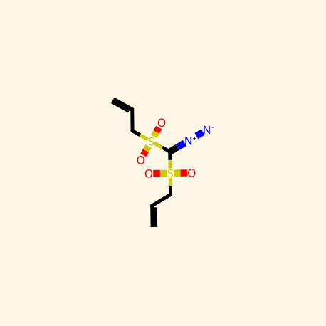 C=CCS(=O)(=O)C(=[N+]=[N-])S(=O)(=O)CC=C